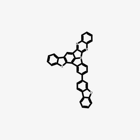 c1ccc2nc3c(nc2c1)c1cc2c4ccccc4sc2c2c4cc(-c5ccc6c(c5)oc5ccccc56)ccc4n3c12